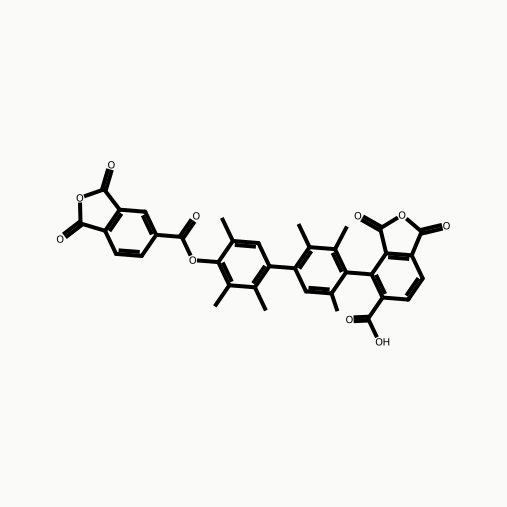 Cc1cc(-c2cc(C)c(-c3c(C(=O)O)ccc4c3C(=O)OC4=O)c(C)c2C)c(C)c(C)c1OC(=O)c1ccc2c(c1)C(=O)OC2=O